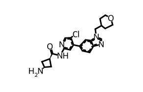 N[C@H]1C[C@@H](C(=O)Nc2cc(-c3ccc4ncn(CC5CCOCC5)c4c3)c(Cl)cn2)C1